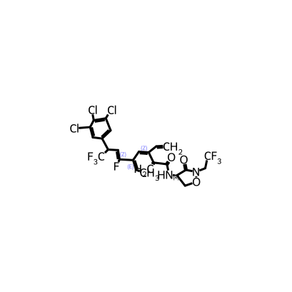 C=C/C(=C/C(=C\C)C(/F)=C/C(c1cc(Cl)c(Cl)c(Cl)c1)C(F)(F)F)C(=C)C(=O)N[C@@H]1CON(CC(F)(F)F)C1=O